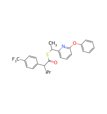 CC(SC(=O)C(c1ccc(C(F)(F)F)cc1)C(C)C)c1cccc(Oc2ccccc2)n1